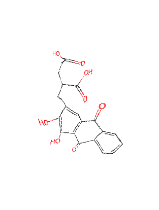 O=C(O)CC(Cc1cc2c(c(O)c1O)C(=O)c1ccccc1C2=O)C(=O)O